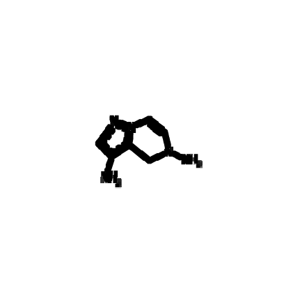 Nc1cnn2c1CN(N)C=C2